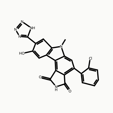 Cn1c2cc(-c3nnn[nH]3)c(O)cc2c2c3c(c(-c4ccccc4Cl)cc21)C(=O)NC3=O